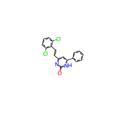 O=c1nc(C=Cc2c(Cl)cccc2Cl)cc(-c2ccccc2)[nH]1